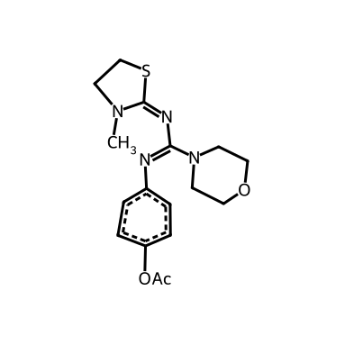 CC(=O)Oc1ccc(N=C(N=C2SCCN2C)N2CCOCC2)cc1